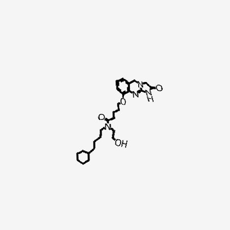 O=C1CN2Cc3cccc(OCCCCC(=O)N(CCO)CCCCC4CCCCC4)c3N=C2N1